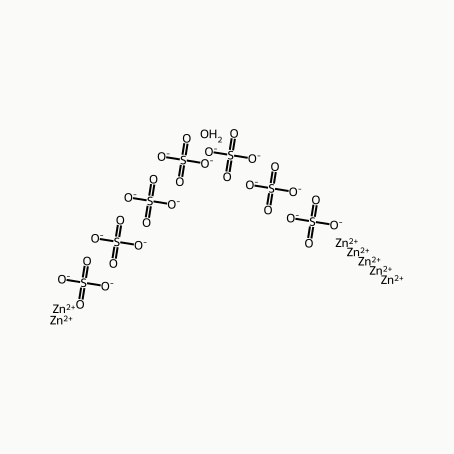 O.O=S(=O)([O-])[O-].O=S(=O)([O-])[O-].O=S(=O)([O-])[O-].O=S(=O)([O-])[O-].O=S(=O)([O-])[O-].O=S(=O)([O-])[O-].O=S(=O)([O-])[O-].[Zn+2].[Zn+2].[Zn+2].[Zn+2].[Zn+2].[Zn+2].[Zn+2]